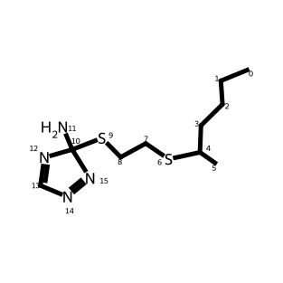 CCCCC(C)SCCSC1(N)N=CN=N1